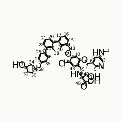 CNc1cncc(COc2cc(OCc3cccc(-c4cccc(-c5ccc(CN6CC[C@H](O)C6)cc5)c4C)c3C)c(Cl)cc2CN[C@@](C)(CO)C(=O)O)c1